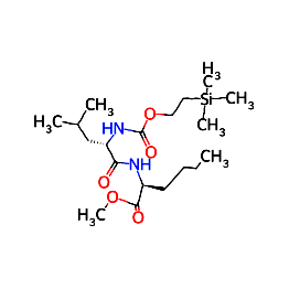 CCCC[C@H](NC(=O)[C@H](CC(C)C)NC(=O)OCC[Si](C)(C)C)C(=O)OC